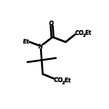 CCOC(=O)CC(=O)N(CC)C(C)(C)CC(=O)OCC